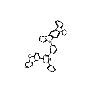 c1ccc(-c2nc(-c3cccc(-n4c5ccccc5c5cc6c(cc54)C4(CCCC4)c4ccccc4-6)c3)nc(-c3ccc4oc5ccccc5c4c3)n2)cc1